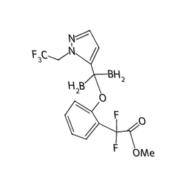 BC(B)(Oc1ccccc1C(F)(F)C(=O)OC)c1ccnn1CC(F)(F)F